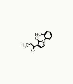 CCC(=O)C1=CCN(c2ccccc2O)C1=O